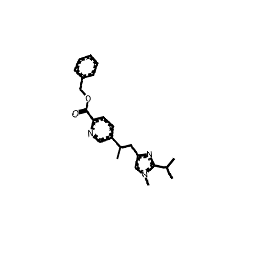 CC(C)c1nc(CC(C)c2ccc(C(=O)OCc3ccccc3)nc2)cn1C